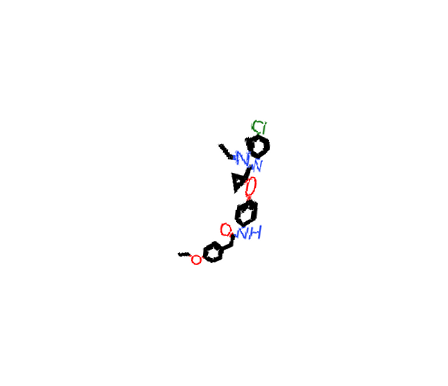 CCOc1ccc(CC(=O)Nc2ccc(OC3(c4nc5c#cc(Cl)cc5n4CC)CC3)cc2)cc1